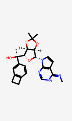 C/N=c1\[nH]cnc2c1ccn2[C@@H]1O[C@H]([C@](C)(O)c2ccc3c(c2)CC3)[C@H]2OC(C)(C)O[C@H]21